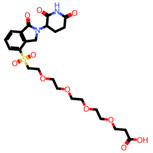 O=C(O)CCOCCOCCOCCOCCS(=O)(=O)c1cccc2c1CN(C1CCC(=O)NC1=O)C2=O